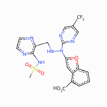 CS(=O)(=O)Nc1nccnc1CNN(c1ncc(C(F)(F)F)cn1)c1cc2c(C(=O)O)cccc2o1